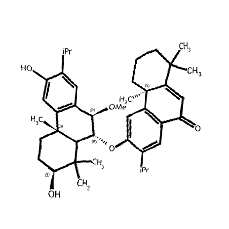 CO[C@@H]1c2cc(C(C)C)c(O)cc2[C@@]2(C)CC[C@H](O)C(C)(C)C2[C@H]1Oc1cc2c(cc1C(C)C)C(=O)C=C1C(C)(C)CCC[C@@]12C